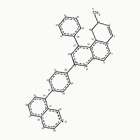 CC1C=Cc2ccc3nc(-c4ccc(-c5cccc6ccncc56)cc4)cc(-c4ccccc4)c3c2C1